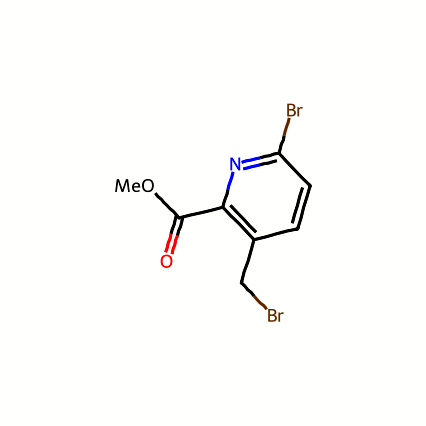 COC(=O)c1nc(Br)ccc1CBr